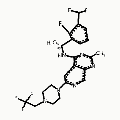 Cc1nc(N[C@H](C)c2cccc(C(F)F)c2F)c2cc(N3CCN(CC(F)(F)F)CC3)ncc2n1